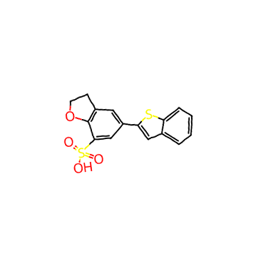 O=S(=O)(O)c1cc(-c2cc3ccccc3s2)cc2c1OCC2